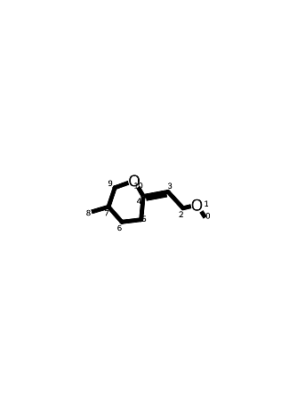 COC/C=C1\CCC(C)CO1